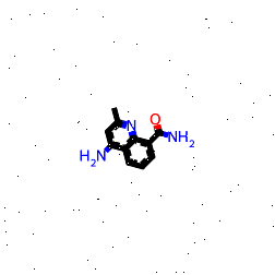 Cc1cc(N)c2cccc(C(N)=O)c2n1